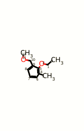 CCOc1c(C)cccc1COC